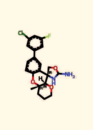 C[C@]12CCCO[C@@H]1[C@]1(COC(N)N1)c1cc(-c3cc(F)cc(Cl)c3)ccc1O2